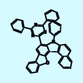 c1ccc(-c2nc(-c3ccccc3)nc(-c3cc4c5ccccc5oc4c4c5c6ccccc6ccc5n(-c5ccccc5)c34)n2)cc1